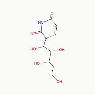 O=c1ccn(C(O)[C@H](O)[C@@H](O)CCO)c(=O)[nH]1